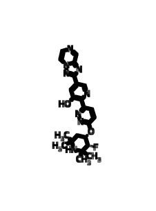 CC1(C)C[C@H](Oc2ccc(-c3ncc(-c4nc5cnccn5n4)cc3O)nn2)[C@H](F)C(C)(C)N1